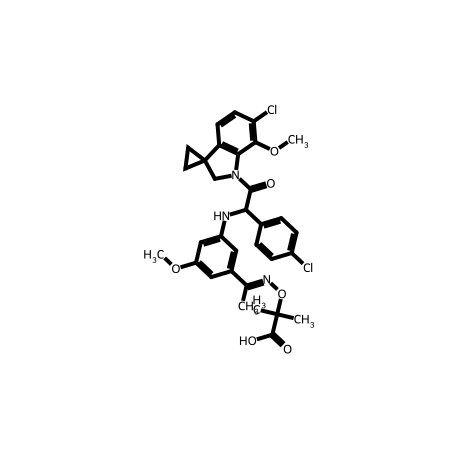 COc1cc(NC(C(=O)N2CC3(CC3)c3ccc(Cl)c(OC)c32)c2ccc(Cl)cc2)cc(C(C)=NOC(C)(C)C(=O)O)c1